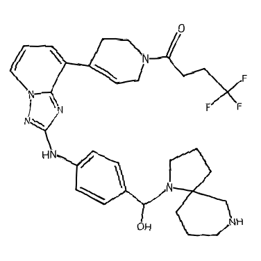 O=C(CCC(F)(F)F)N1CC=C(c2cccn3nc(Nc4ccc(C(O)N5CCCC56CCCNC6)cc4)nc23)CC1